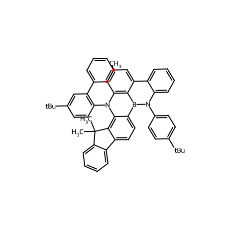 Cc1cc2c3c(c1)N(c1ccc(C(C)(C)C)cc1-c1ccccc1)c1c(ccc4c1C(C)(C)c1ccccc1-4)B3N(c1ccc(C(C)(C)C)cc1)c1ccccc1-2